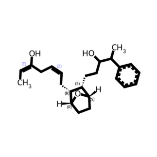 C/C=C(/O)C/C=C\C[C@@H]1[C@H](CCC(O)C(C)c2ccccc2)[C@@H]2CC[C@H]1O2